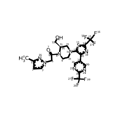 Cc1ccn(CC(=O)N2CCN(c3sc(C(F)(F)F)nc3-c3cnc(C(F)(F)F)nc3)C[C@@H]2CO)n1